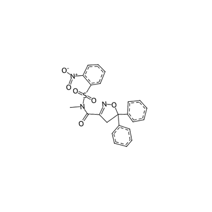 CN(C(=O)C1=NOC(c2ccccc2)(c2ccccc2)C1)S(=O)(=O)c1ccccc1[N+](=O)[O-]